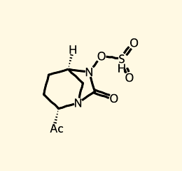 CC(=O)[C@@H]1CC[C@@H]2CN1C(=O)N2O[SH](=O)=O